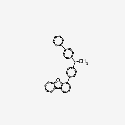 CC(c1ccc(-c2ccccc2)cc1)c1ccc(-c2cccc3c2oc2ccccc23)cc1